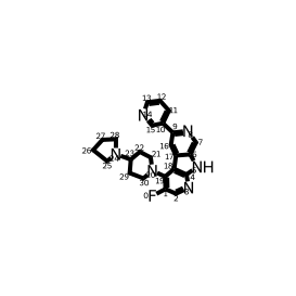 Fc1cnc2[nH]c3cnc(-c4cccnc4)cc3c2c1N1CCC(N2CCCC2)CC1